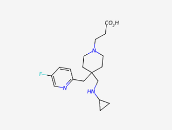 O=C(O)CCN1CCC(CNC2CC2)(Cc2ccc(F)cn2)CC1